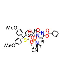 COc1ccc(C(SC[C@]23CO[C@@H](C2OP(OCCC#N)N(C(C)C)C(C)C)[C@H](n2cc(C)c(OC(=O)c4ccccc4)nc2=O)O3)(c2ccccc2)c2ccc(OC)cc2)cc1